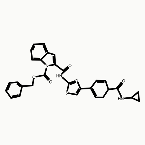 O=C(Nc1nc(C2=CCC(C(=O)NC3CC3)C=C2)cs1)c1cc2ccccc2n1C(=O)OCc1ccccc1